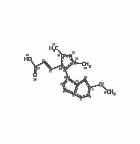 COc1ccc2ccn(-c3c(C=CC(=O)O)c(C)nn3C)c2c1